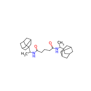 CC(NC(=O)CCCC(=O)NC(C)C12CC3CC(CC(C3)C1)C2)C12CC3CC(CC(C3)C1)C2